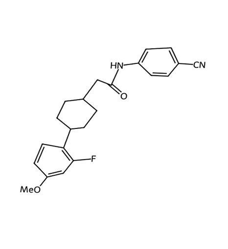 COc1ccc(C2CCC(CC(=O)Nc3ccc(C#N)cc3)CC2)c(F)c1